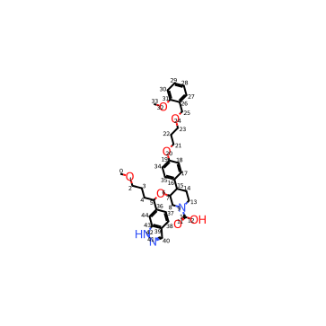 COCCCC(OC1CN(C(=O)O)CCC1c1ccc(OCCCOCc2ccccc2OC)cc1)c1ccc2cn[nH]c2c1